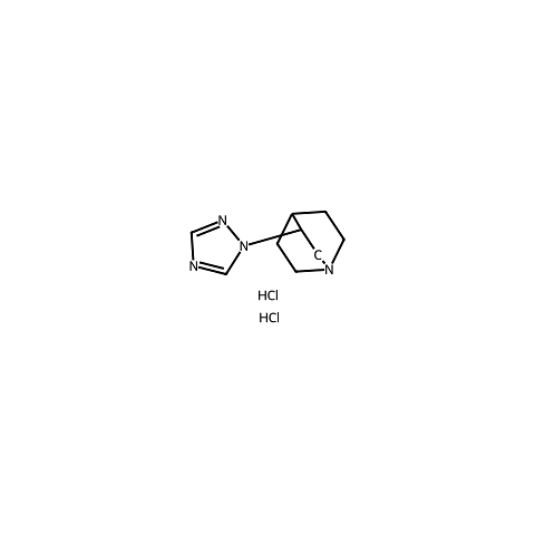 Cl.Cl.c1ncn(C2CN3CCC2CC3)n1